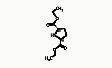 CCOC(=O)[C@@H]1CC[C@@H](C(=O)OCC)N1